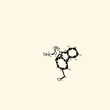 CC(C)(C)OC=O.ClCc1cc2c3c(c1)c1ccccc1n3-2